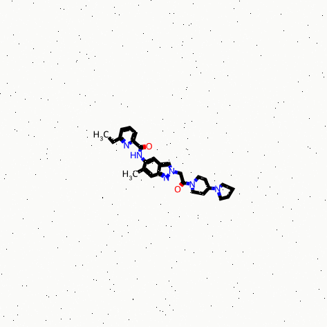 CCc1cccc(C(=O)Nc2cc3cn(CC(=O)N4CCC(N5CCCC5)CC4)nc3cc2C)n1